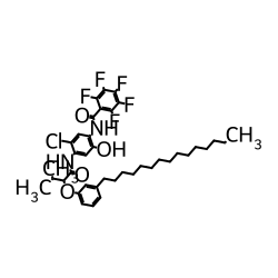 CCCCCCCCCCCCCCCc1cccc(OC(C(=O)Nc2cc(O)c(NC(=O)c3c(F)c(F)c(F)c(F)c3F)cc2Cl)C(C)C)c1